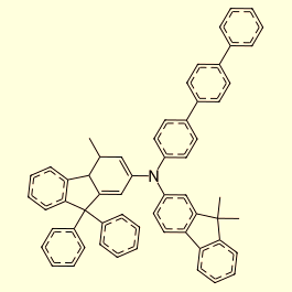 CC1C=C(N(c2ccc(-c3ccc(-c4ccccc4)cc3)cc2)c2ccc3c(c2)C(C)(C)c2ccccc2-3)C=C2C1c1ccccc1C2(c1ccccc1)c1ccccc1